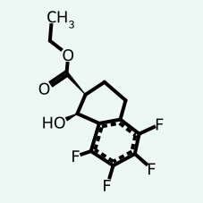 CCOC(=O)[C@H]1CCc2c(F)c(F)c(F)c(F)c2[C@H]1O